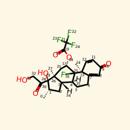 C[C@H]1C[C@H]2[C@@H]3CCC4=CC(=O)C=C[C@]4(C)C3(F)[C@@H](OC(=O)C(F)(F)F)C[C@]2(C)[C@@]1(O)C(=O)CO